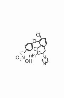 CCCOC(Cc1ccc(Cl)c(Oc2ccc(Cl)cc2)c1Cl)n1ccnc1.O=[N+]([O-])O